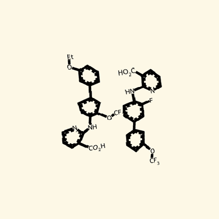 CCOc1cccc(-c2ccc(Nc3ncccc3C(=O)O)c(OC(F)(F)F)c2)c1.O=C(O)c1cccnc1Nc1ccc(-c2cccc(OC(F)(F)F)c2)cc1F